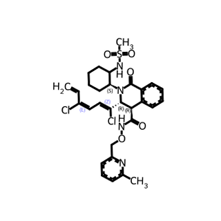 C=C/C(Cl)=C\C=C(/Cl)[C@H]1[C@H](C(=O)NOCc2cccc(C)n2)c2ccccc2C(=O)N1[C@H]1CCCCC1NS(C)(=O)=O